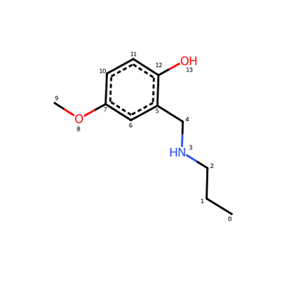 CCCNCc1cc(OC)ccc1O